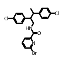 CC(c1ccc(Cl)cc1)C(CNC(=O)c1cccc(Br)n1)c1ccc(Cl)cc1